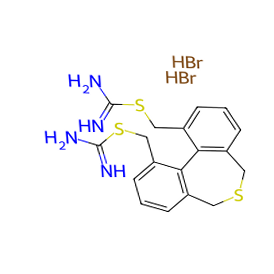 Br.Br.N=C(N)SCc1cccc2c1-c1c(cccc1CSC(=N)N)CSC2